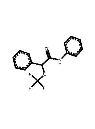 O=C(Nc1ccccc1)C(OC(F)(F)F)c1ccccc1